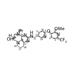 COc1nc(C(F)(F)F)ccc1Oc1ccc(CNc2nc3c(c(N(C)C(C)C)n2)N(C=O)CCC3)cn1